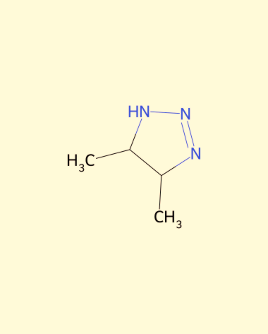 CC1N=NNC1C